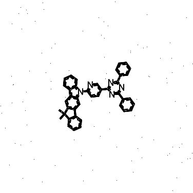 CC1(C)c2ccccc2-c2cc3c(cc21)c1ccccc1n3-c1ccc(-c2nc(-c3ccccc3)nc(-c3ccccc3)n2)cn1